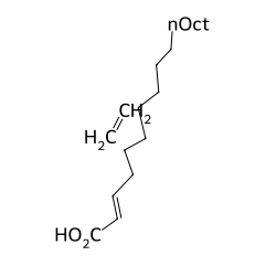 C=C.CCCCCCCCCCCCCCCC=CC(=O)O